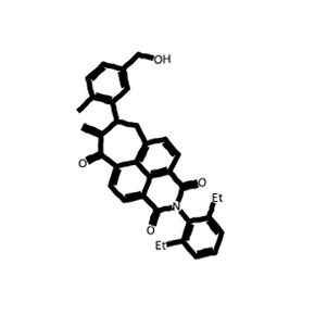 C=C1C(=O)c2ccc3c4c(ccc(c24)CC1c1cc(CO)ccc1C)C(=O)N(c1c(CC)cccc1CC)C3=O